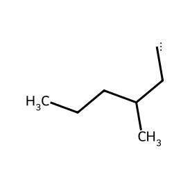 [C]CC(C)CCC